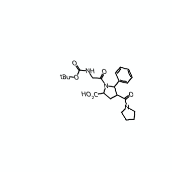 CC(C)(C)OC(=O)NCC(=O)N1C(C(=O)O)CC(C(=O)N2CCCC2)C1c1ccccc1